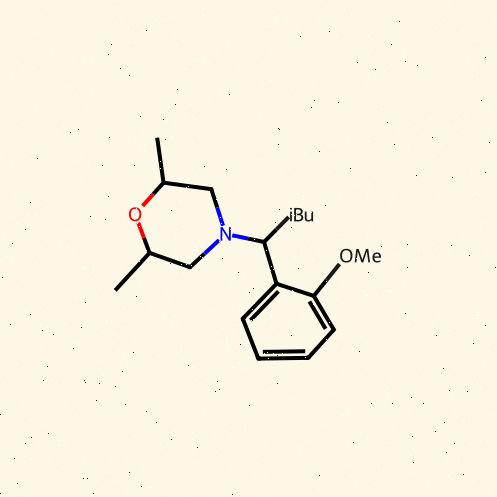 CCC(C)C(c1ccccc1OC)N1CC(C)OC(C)C1